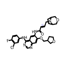 O=C(/C=C/CN1C2CCC1COC2)Nc1cc2c(Nc3ccc(F)c(Cl)c3)ncnc2cc1OCC1CCOC1